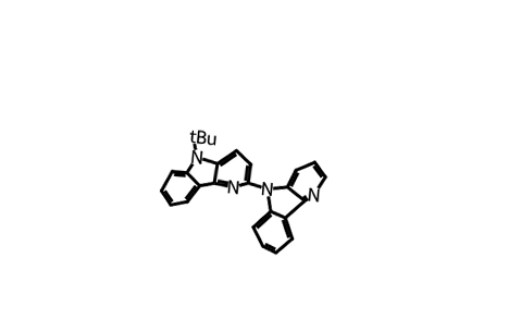 CC(C)(C)n1c2ccccc2c2nc(-n3c4ccccc4c4ncccc43)ccc21